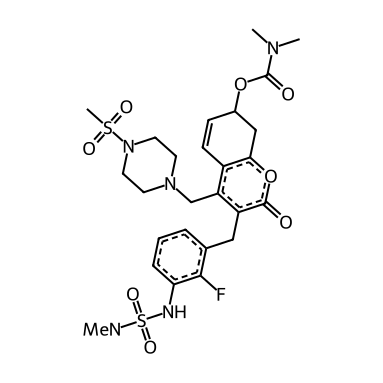 CNS(=O)(=O)Nc1cccc(Cc2c(CN3CCN(S(C)(=O)=O)CC3)c3c(oc2=O)CC(OC(=O)N(C)C)C=C3)c1F